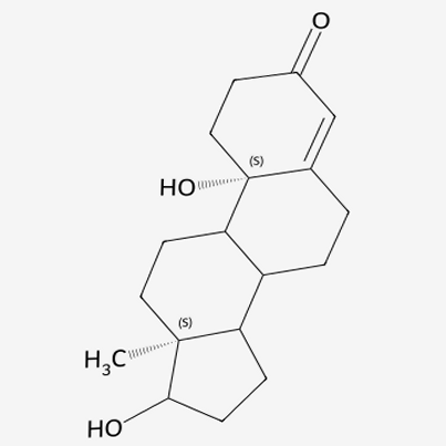 C[C@]12CCC3C(CCC4=CC(=O)CC[C@@]43O)C1CCC2O